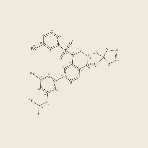 O=C(O)C1(C[C@H]2CN(S(=O)(=O)c3cccc(C(F)(F)F)c3)c3cc(-c4cc(F)cc(OC(F)F)c4)ccc3O2)CC=CC1